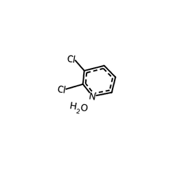 Clc1cccnc1Cl.O